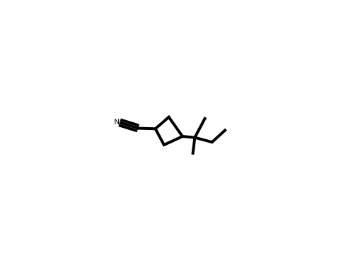 CCC(C)(C)C1CC(C#N)C1